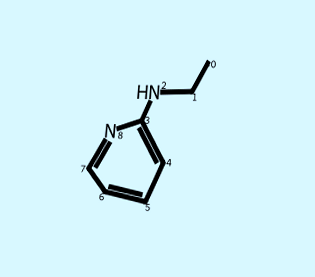 [CH2]CNc1ccccn1